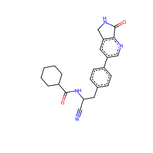 N#CC(Cc1ccc(-c2cnc3c(c2)CNC3=O)cc1)NC(=O)C1CCCCC1